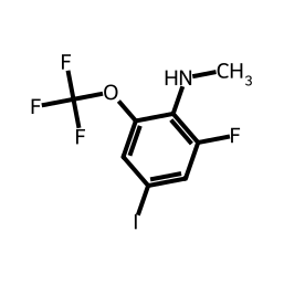 CNc1c(F)cc(I)cc1OC(F)(F)F